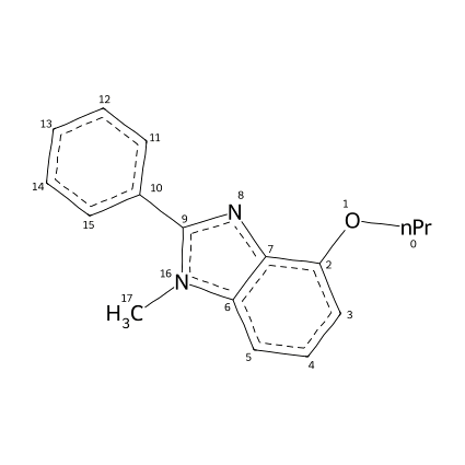 CCCOc1cccc2c1nc(-c1ccccc1)n2C